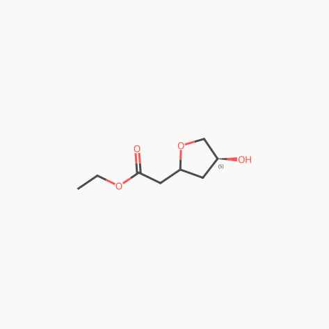 CCOC(=O)CC1C[C@H](O)CO1